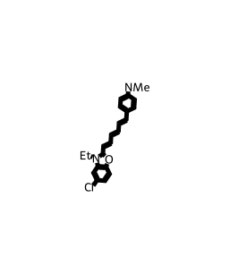 CCN1c2cc(Cl)ccc2OC1/C=C/C=C/C=C/c1ccc(NC)cc1